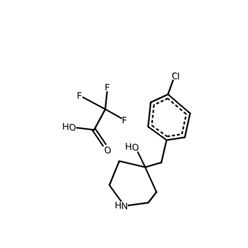 O=C(O)C(F)(F)F.OC1(Cc2ccc(Cl)cc2)CCNCC1